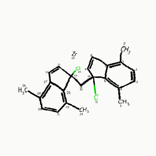 Cc1ccc(C)c2c1C=CC2(Cl)CC1(Cl)C=Cc2c(C)ccc(C)c21.[Zr]